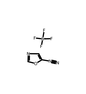 F[B-](F)(F)F.N#[N+]c1cnco1